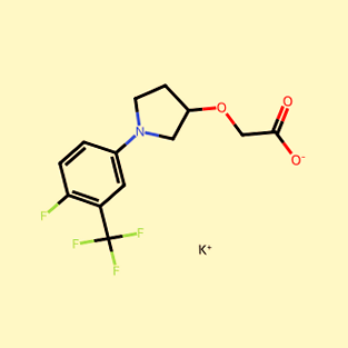 O=C([O-])COC1CCN(c2ccc(F)c(C(F)(F)F)c2)C1.[K+]